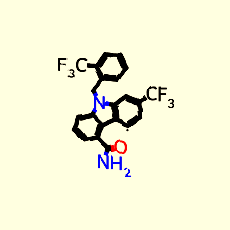 NC(=O)c1cccc2c1c1[c]cc(C(F)(F)F)cc1n2Cc1ccccc1C(F)(F)F